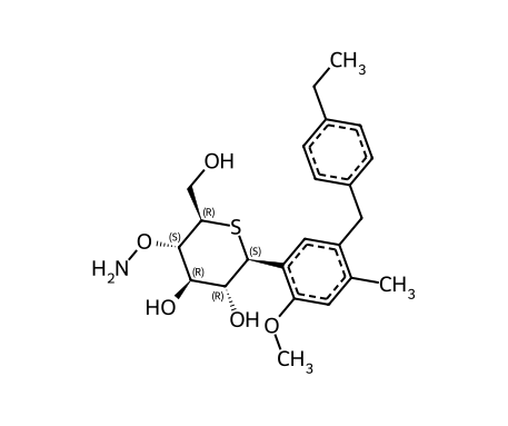 CCc1ccc(Cc2cc([C@@H]3S[C@H](CO)[C@@H](ON)[C@H](O)[C@H]3O)c(OC)cc2C)cc1